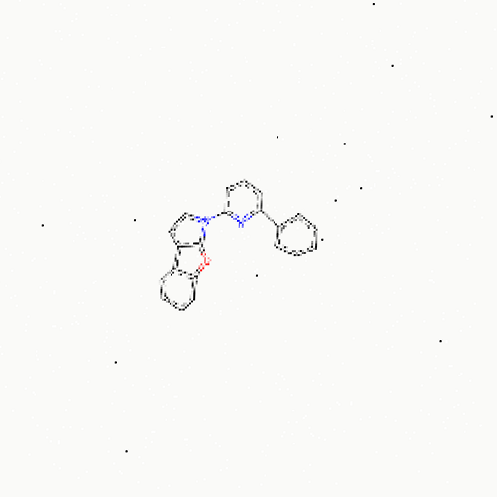 c1ccc(-c2cccc(-n3ccc4c5ccccc5oc43)n2)cc1